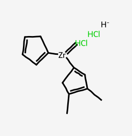 Cl.Cl.[CH2]=[Zr]([C]1=CC=CC1)[C]1=CC(C)=C(C)C1.[H-]